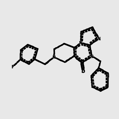 O=c1c2c(n3ccnc3n1Cc1ccccc1)CCN(Cc1cccc(F)c1)C2